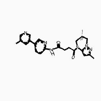 Cc1cncc(-c2ccc(NC(=O)CCC(=O)N3C[C@H](C)Cn4nc(C)cc43)nc2)c1